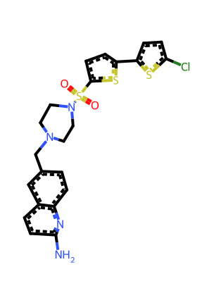 Nc1ccc2cc(CN3CCN(S(=O)(=O)c4ccc(-c5ccc(Cl)s5)s4)CC3)ccc2n1